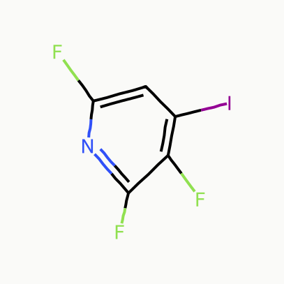 Fc1cc(I)c(F)c(F)n1